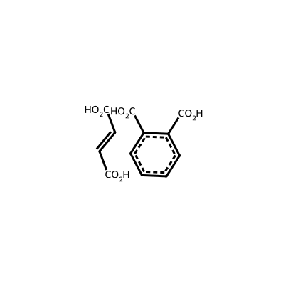 O=C(O)C=CC(=O)O.O=C(O)c1ccccc1C(=O)O